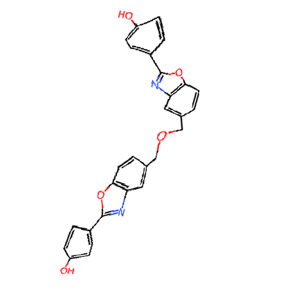 Oc1ccc(-c2nc3cc(COCc4ccc5oc(-c6ccc(O)cc6)nc5c4)ccc3o2)cc1